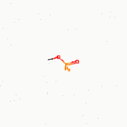 CO[PH2]=O